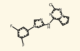 Fc1cc(F)cc(-n2cnc(Nc3nc(Cl)nn4cccc34)c2)c1